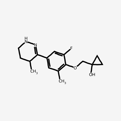 Cc1cc(C2=NNCCC2C)cc(F)c1OCC1(O)CC1